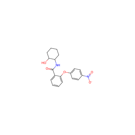 O=C(NC1CCCCC1O)c1ccccc1Oc1ccc([N+](=O)[O-])cc1